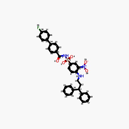 O=C(NS(=O)(=O)c1ccc(NCCC(c2ccccc2)c2ccccc2)c([N+](=O)[O-])c1)c1ccc(-c2ccc(F)cc2)cc1